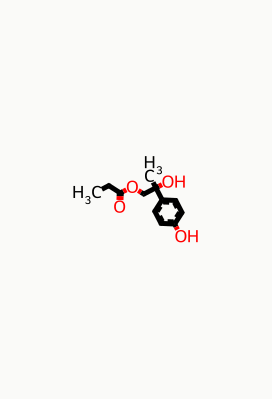 CCC(=O)OCC(C)(O)c1ccc(O)cc1